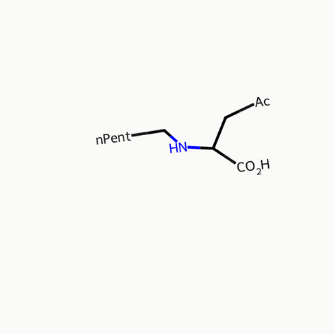 CCCCCCNC(CC(C)=O)C(=O)O